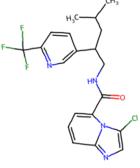 CC(C)CC(CNC(=O)c1cccc2ncc(Cl)n12)c1ccc(C(F)(F)F)nc1